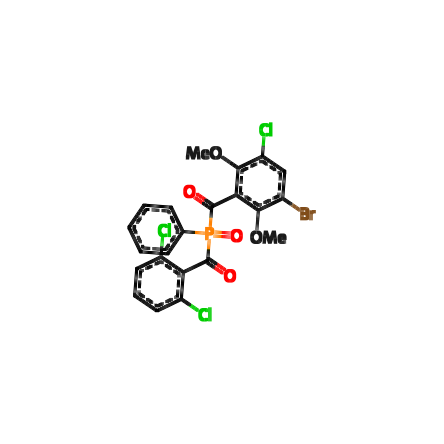 COc1c(Cl)cc(Br)c(OC)c1C(=O)P(=O)(C(=O)c1c(Cl)cccc1Cl)c1ccccc1